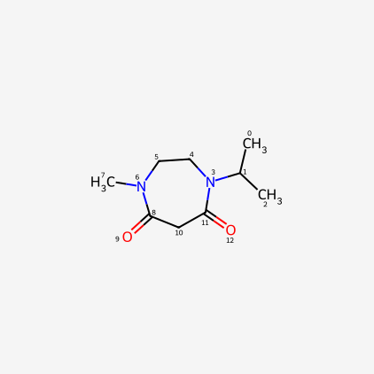 CC(C)N1CCN(C)C(=O)CC1=O